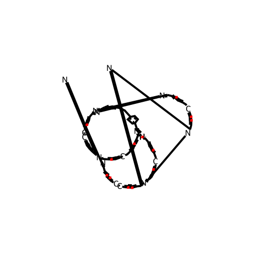 c1cc2ccc1CCc1ccc(cc1)-c1nc3nc(n1)-c1ccc(cc1)CCc1ccc(cc1)-c1nc4nc(n1)-c1ccc(cc1)CCc1ccc(cc1)-c1nc(nc(n1)-c1ccc(cc1)CCc1ccc-3cc1)-c1ccc(cc1)CCc1ccc(cc1)-c1nc-2nc(n1)-c1ccc(cc1)CCc1ccc-4cc1